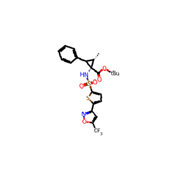 C[C@H]1C(c2ccccc2)[C@]1(NS(=O)(=O)c1ccc(-c2cc(C(F)(F)F)on2)s1)C(=O)OC(C)(C)C